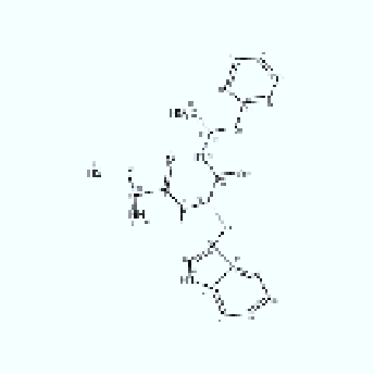 N[C@@H](CS)C(=O)N[C@@H](Cc1c[nH]c2ccccc12)C(=O)N[C@@H](Cc1ccccc1)C(=O)O